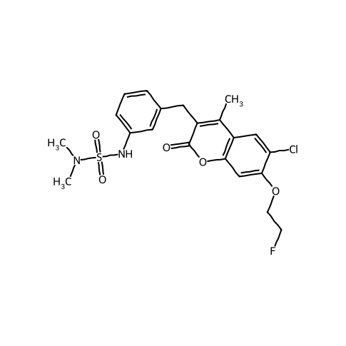 Cc1c(Cc2cccc(NS(=O)(=O)N(C)C)c2)c(=O)oc2cc(OCCF)c(Cl)cc12